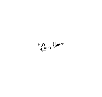 O.O.O.[OH][Zr]